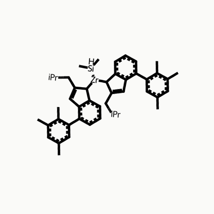 Cc1cc(C)c(C)c(-c2cccc3c2C=C(CC(C)C)[CH]3[Zr]([CH]2C(CC(C)C)=Cc3c(-c4cc(C)cc(C)c4C)cccc32)[SiH](C)C)c1